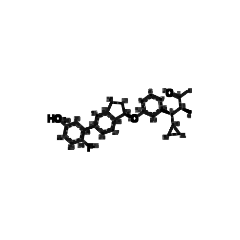 CC(=O)[C@@H](C)[C@H](c1cccc(O[C@@H]2CCc3cc(-c4cc(O)ccc4F)ccc32)c1)C1CC1